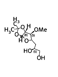 CO[C@H]1C(C[C@H](O)CO)O[C@@H]2OC(C)(C)O[C@@H]21